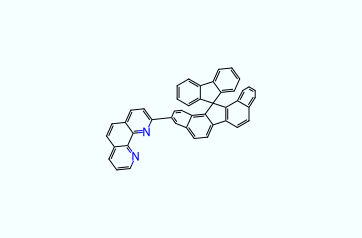 c1ccc2c(c1)-c1ccccc1C21c2c(ccc3ccccc23)-c2ccc3cc(-c4ccc5ccc6cccnc6c5n4)ccc3c21